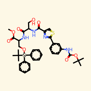 COC(=O)C(CO[Si](c1ccccc1)(c1ccccc1)C(C)(C)C)NC(=O)C(CO)NC(=O)c1csc(-c2cccc(NC(=O)OC(C)(C)C)c2)n1